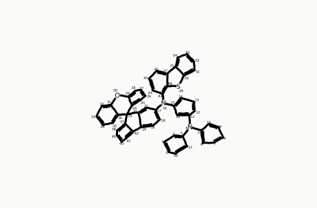 c1ccc(N(c2ccccc2)c2cccc(N(c3ccc4c(c3)C3(c5ccccc5Oc5ccccc53)c3ccccc3-4)c3cccc4c3sc3ccccc34)c2)cc1